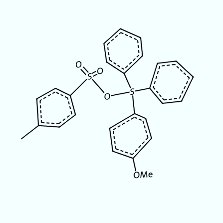 COc1ccc(S(OS(=O)(=O)c2ccc(C)cc2)(c2ccccc2)c2ccccc2)cc1